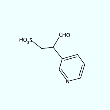 O=CC(CS(=O)(=O)O)c1cccnc1